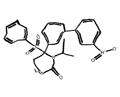 CC(C)N1C(=O)NCC1(c1cccc(-c2cccc([N+](=O)[O-])c2)c1)S(=O)(=O)c1ccccc1